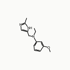 CCN(Cc1cnc(C)[nH]1)c1cccc(OC)c1